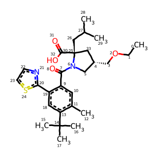 CCOC[C@@H]1CN(C(=O)c2cc(C)c(C(C)(C)C)cc2-c2nccs2)[C@](CC(C)C)(C(=O)O)C1